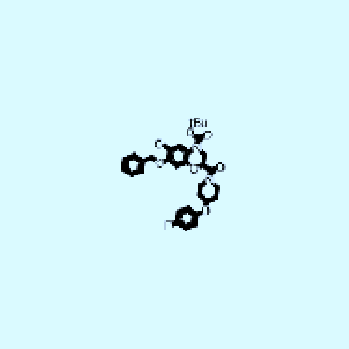 CC(C)(C)OC(=O)N1CC(C(=O)N2CCC(Oc3ccc(F)cc3)CC2)Oc2cc(OCc3ccccc3)c(Cl)cc21